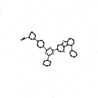 N#Cc1cccc(-c2ccc(-c3nc(-c4ccccc4)nc(-c4cnc5c(c4)oc4cccc(-c6ccccc6)c45)n3)cc2)c1